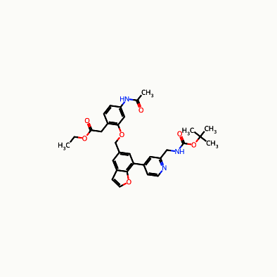 CCOC(=O)Cc1ccc(NC(C)=O)cc1OCc1cc(-c2ccnc(CNC(=O)OC(C)(C)C)c2)c2occc2c1